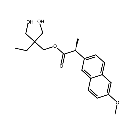 CCC(CO)(CO)COC(=O)[C@@H](C)c1ccc2cc(OC)ccc2c1